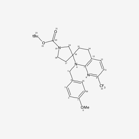 COc1ccc(CN2c3nc(C(F)(F)F)ccc3CCC23CCN(C(=O)OC(C)(C)C)C3)cc1